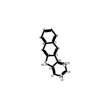 c1ccc2cc3c(cc2c1)sc1cncnc13